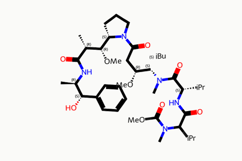 CC[C@H](C)[C@@H]([C@@H](CC(=O)N1CCC[C@H]1[C@H](OC)[C@@H](C)C(=O)N[C@H](C)[C@@H](O)c1ccccc1)OC)N(C)C(=O)[C@@H](NC(=O)C(C(C)C)N(C)C(=O)OC)C(C)C